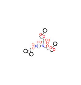 O=C(OCC1c2ccccc2-c2ccccc21)N1CCC(N(C[C@H](O)C[C@H]2CCOC(c3ccccc3)O2)C[C@H](O)[C@@H](O)[C@H]2CCOC(c3ccccc3)O2)CC1